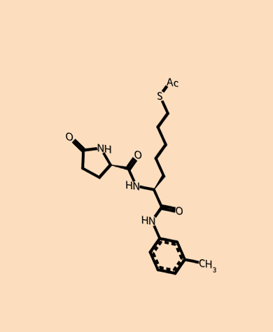 CC(=O)SCCCCC[C@H](NC(=O)[C@H]1CCC(=O)N1)C(=O)Nc1cccc(C)c1